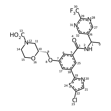 CC(NC(=O)c1cc(OC[C@H]2CN(C(=O)O)CCO2)cc(-c2ncc(Cl)s2)c1)c1cnc(C(F)(F)F)nc1